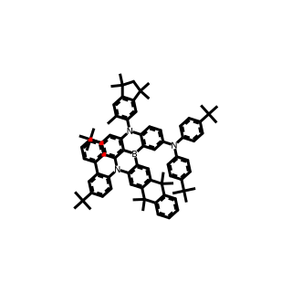 Cc1cc2c(cc1N1c3ccc(N(c4ccc(C(C)(C)C)cc4)c4ccc(C(C)(C)C)cc4)cc3B3c4cc5c(cc4N(c4ccc(C(C)(C)C)cc4-c4ccccc4)c4cc(C(C)(C)C)cc1c43)C(C)(C)c1ccccc1C5(C)C)C(C)(C)CC2(C)C